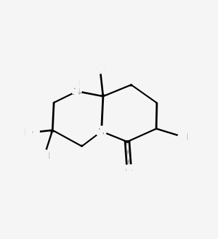 CC1CCC2(C)NCC(C)(C)CN2C1=O